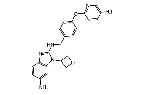 Nc1ccc2nc(NCc3ccc(Oc4ccc(Cl)cn4)cc3)n(C3COC3)c2c1